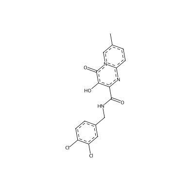 Cc1ccc2nc(C(=O)NCc3ccc(Cl)c(Cl)c3)c(O)c(=O)n2c1